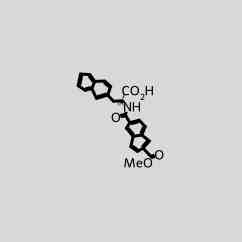 COC(=O)c1ccc2cc(C(=O)N[C@H](Cc3ccc4ccccc4c3)C(=O)O)ccc2c1